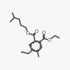 CCOC(=O)c1cc(C)c(CC)cc1C(=O)OCCCC(C)C